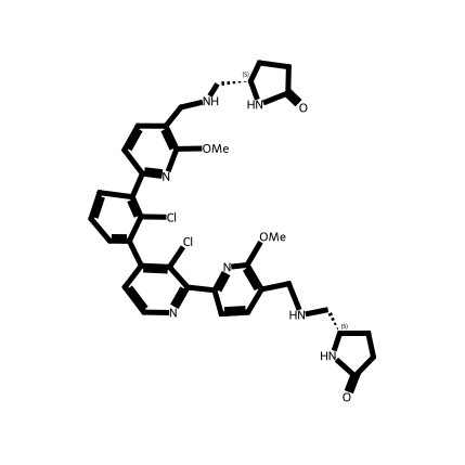 COc1nc(-c2cccc(-c3ccnc(-c4ccc(CNC[C@@H]5CCC(=O)N5)c(OC)n4)c3Cl)c2Cl)ccc1CNC[C@@H]1CCC(=O)N1